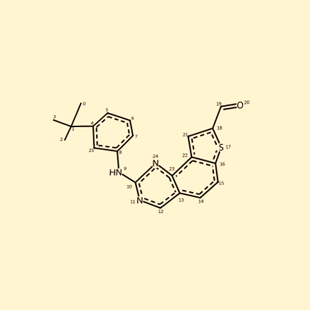 CC(C)(C)c1cccc(Nc2ncc3ccc4sc(C=O)cc4c3n2)c1